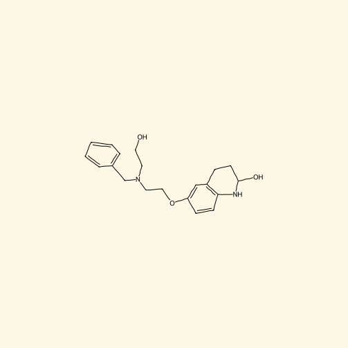 OCCN(CCOc1ccc2c(c1)CCC(O)N2)Cc1ccccc1